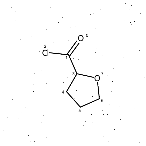 O=C(Cl)C1CCCO1